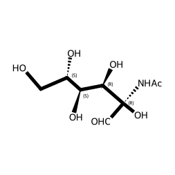 CC(=O)N[C@](O)(C=O)[C@H](O)[C@@H](O)[C@@H](O)CO